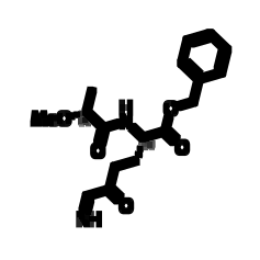 CO[C@H](C)C(=O)N[C@@H](CCC(=O)C=N)C(=O)OCc1ccccc1